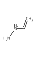 C=C[SiH2]N